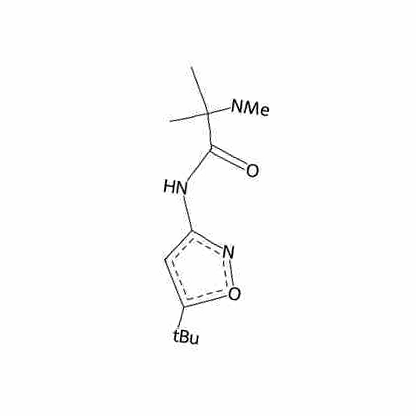 CNC(C)(C)C(=O)Nc1cc(C(C)(C)C)on1